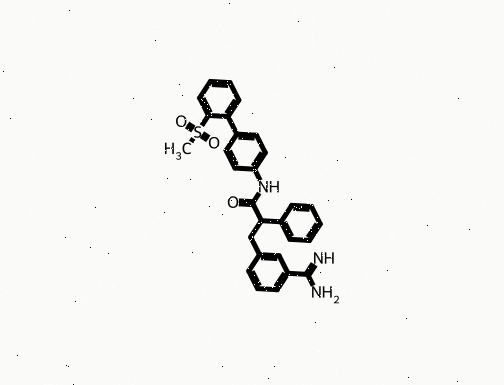 CS(=O)(=O)c1ccccc1-c1ccc(NC(=O)C(Cc2cccc(C(=N)N)c2)c2ccccc2)cc1